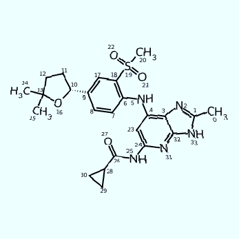 Cc1nc2c(Nc3ccc([C@H]4CCC(C)(C)O4)cc3S(C)(=O)=O)cc(NC(=O)C3CC3)nc2[nH]1